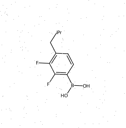 CC(C)Cc1ccc(B(O)O)c(F)c1F